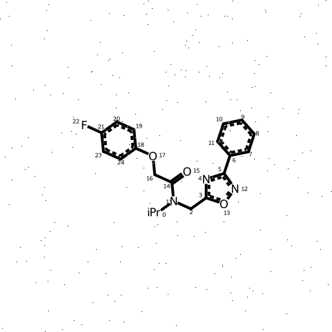 CC(C)N(Cc1nc(-c2ccccc2)no1)C(=O)COc1ccc(F)cc1